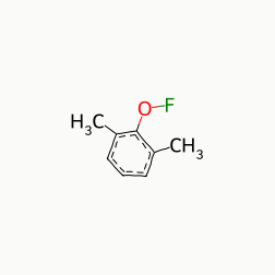 Cc1cccc(C)c1OF